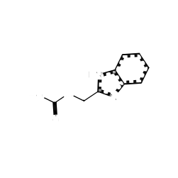 O=C(O)OCc1nc2ccccc2[nH]1